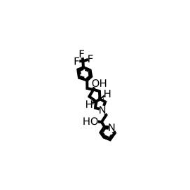 OC(CN1C[C@@H]2CC(O)(Cc3ccc(C(F)(F)F)cc3)C[C@@H]2C1)c1ccccn1